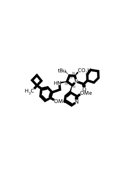 COc1ccc(C2(C)CCC2)cc1CN[C@H]1[C@H](C(C)(C)C)[C@@H](C(=O)O)N(C(=O)C2CCCCC2)[C@H]1c1cccnc1OC